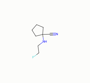 N#CC1(NCCF)CCCC1